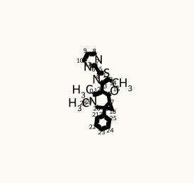 CC1=C(c2nc(-c3ncccn3)sc2C)C(=O)C2CC2(c2ccccc2)CN1C